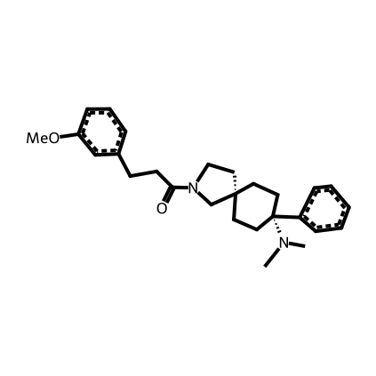 COc1cccc(CCC(=O)N2CC[C@]3(CC[C@@](c4ccccc4)(N(C)C)CC3)C2)c1